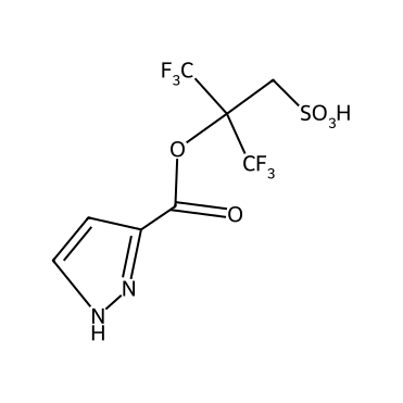 O=C(OC(CS(=O)(=O)O)(C(F)(F)F)C(F)(F)F)c1cc[nH]n1